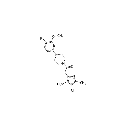 COc1cc(N2CCN(C(=O)Cn3nc(C)c(Cl)c3N)CC2)ccc1Br